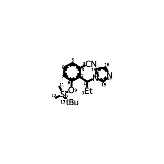 CCC(c1c(C#N)cccc1O[Si](C)(C)C(C)(C)C)n1ccnc1